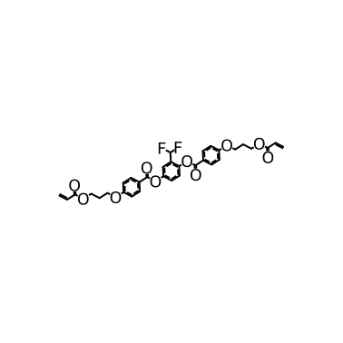 C=CC(=O)OCCCOc1ccc(C(=O)Oc2ccc(OC(=O)c3ccc(OCCCOC(=O)C=C)cc3)c(C(F)F)c2)cc1